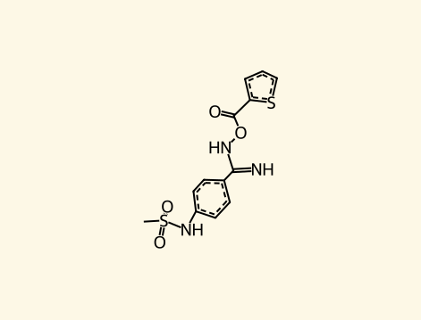 CS(=O)(=O)Nc1ccc(C(=N)NOC(=O)c2cccs2)cc1